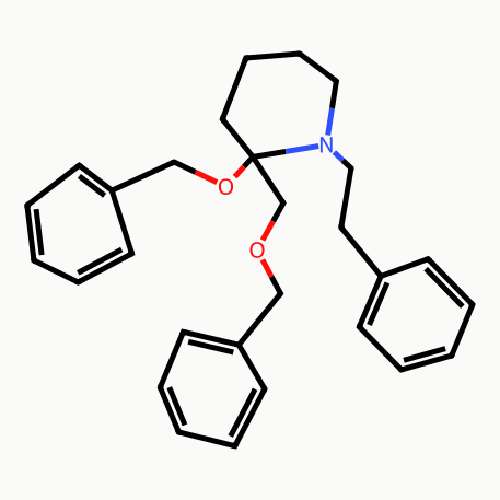 c1ccc(CCN2CCCCC2(COCc2ccccc2)OCc2ccccc2)cc1